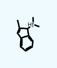 CC1=Cc2ccccc2[CH]1[Hf]([CH3])[CH3]